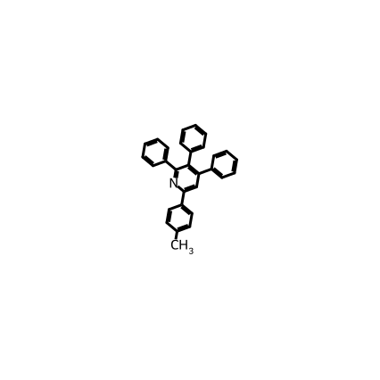 Cc1ccc(-c2cc(-c3ccccc3)c(-c3ccccc3)c(-c3ccccc3)n2)cc1